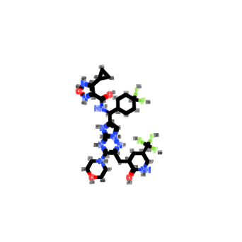 O=C(N[C@H](c1cn2nc(CC3C[C@@H](C(F)(F)F)CNC3=O)c(N3CCOCC3)nc2n1)C1CCC(F)(F)CC1)c1nonc1C1CC1